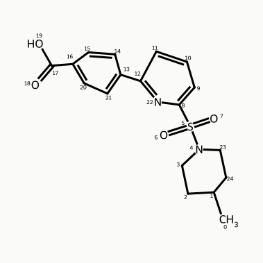 CC1CCN(S(=O)(=O)c2cccc(-c3ccc(C(=O)O)cc3)n2)CC1